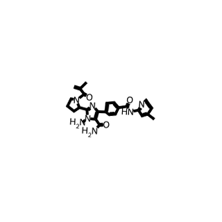 C=C(C)C(=O)N1CCCC1c1nc(-c2ccc(C(=O)Nc3cc(C)ccn3)cc2)c(C(N)=O)n1N